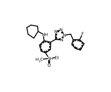 CC[SH](C)(=O)c1ccc(NC2CCCCC2)c(-c2nnn(Cc3ccccc3F)n2)c1